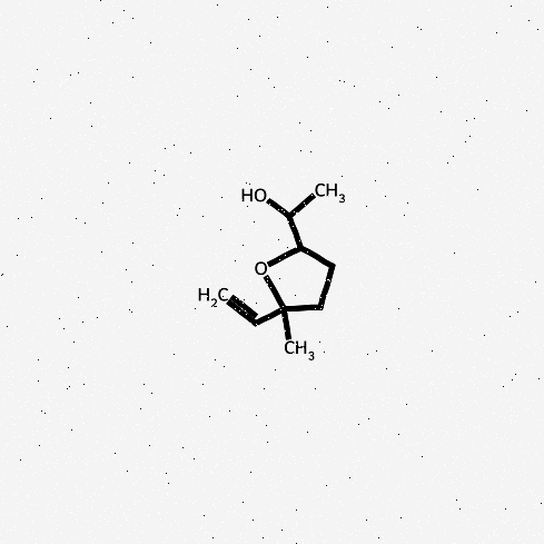 C=CC1(C)CCC(C(C)O)O1